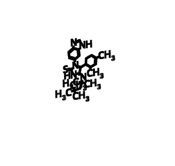 CC1=CC(C)C(C2C(=NC(C)(C)CC(C)(C)C)NC(=S)N2c2ccc3nc[nH]c3c2)CC1